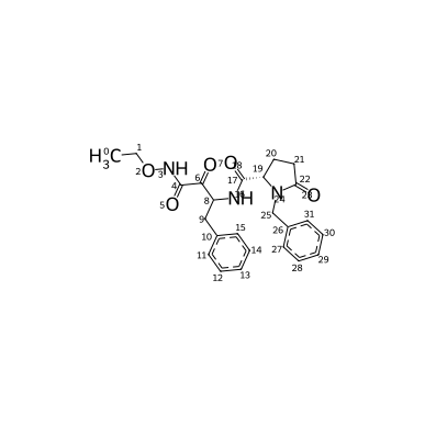 CCONC(=O)C(=O)C(Cc1ccccc1)NC(=O)[C@@H]1CCC(=O)N1Cc1ccccc1